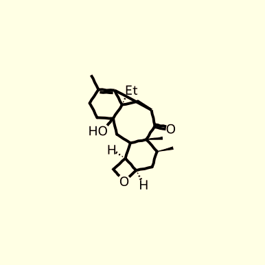 CC[C@]12CC3C(=O)[C@@]4(C)C(CC1(O)CCC(C)=C32)[C@@H]1CO[C@@H]1C[C@@H]4C